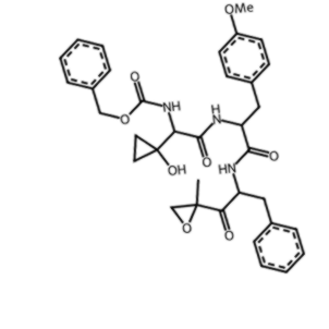 COc1ccc(CC(NC(=O)C(NC(=O)OCc2ccccc2)C2(O)CC2)C(=O)NC(Cc2ccccc2)C(=O)C2(C)CO2)cc1